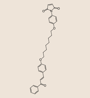 O=C(C=Cc1ccc(OCCCCCCCCOc2ccc(N3C(=O)C=CC3=O)cc2)cc1)c1ccccc1